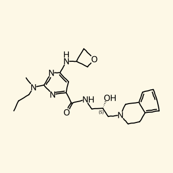 CCCN(C)c1nc(NC2COC2)cc(C(=O)NC[C@H](O)CN2CCc3ccccc3C2)n1